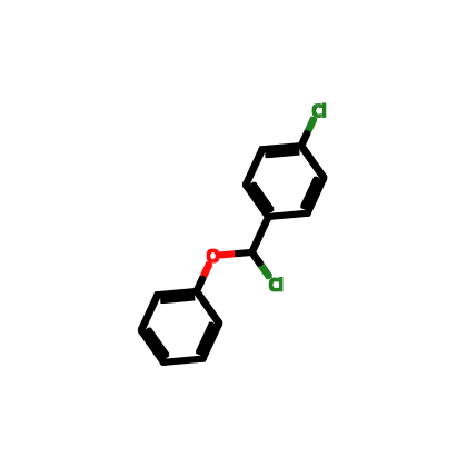 Clc1ccc(C(Cl)Oc2ccccc2)cc1